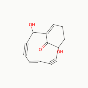 O=C1C2=CCCC1(O)C#C/C=C/C#CC2O